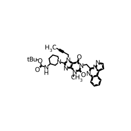 CC#CCn1c(N2CCCC(NC(=O)OC(C)(C)C)C2)nc2c1c(=O)n(Cc1nc3ccccc3c3ccnn13)c(=O)n2C